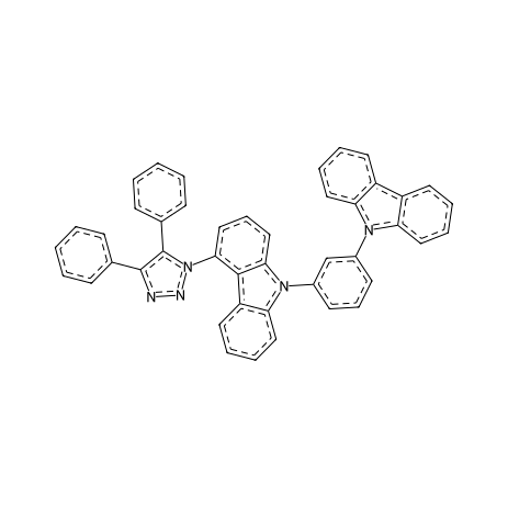 c1ccc(-c2nnn(-c3cccc4c3c3ccccc3n4-c3cccc(-n4c5ccccc5c5ccccc54)c3)c2-c2ccccc2)cc1